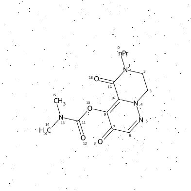 CCCN1CCn2ncc(=O)c(OC(=O)N(C)C)c2C1=O